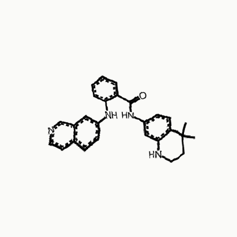 CC1(C)CCNc2cc(NC(=O)c3ccccc3Nc3ccc4ccncc4c3)ccc21